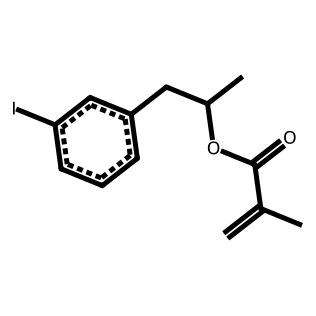 C=C(C)C(=O)OC(C)Cc1cccc(I)c1